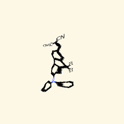 CCC1(CC)c2cc(/C=C(/C#N)C=O)ccc2-c2ccc(N(c3ccccc3)c3ccccc3)cc21